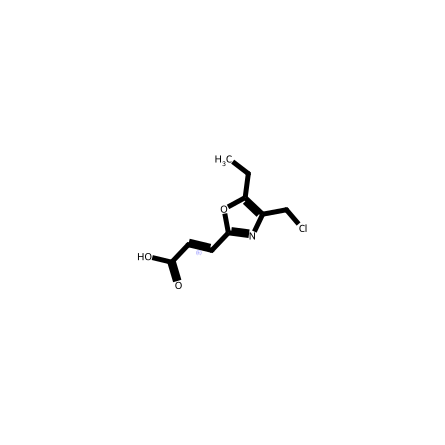 CCc1oc(/C=C/C(=O)O)nc1CCl